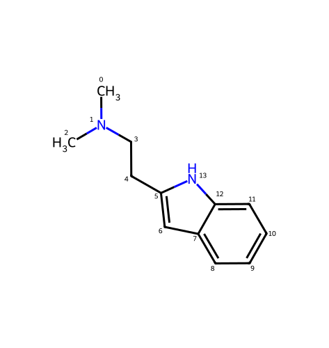 CN(C)CCc1cc2ccccc2[nH]1